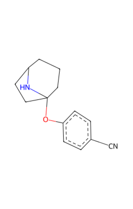 N#Cc1ccc(OC23CCCC(CC2)N3)cc1